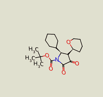 CC(C)(C)OC(=O)N1C(=O)C(=O)C([C@@H]2CCCCO2)[C@@H]1C1CCCCC1